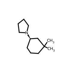 CC1(C)CCC[C@@H](N2CCCC2)C1